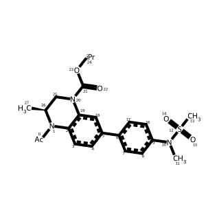 CC(=O)N1c2ccc(-c3ccc(N(C)S(C)(=O)=O)cc3)cc2N(C(=O)OC(C)C)C[C@@H]1C